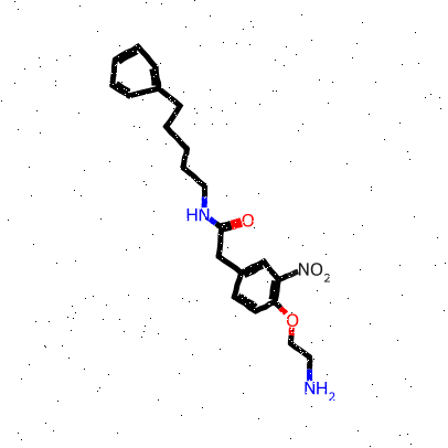 NCCOc1ccc(CC(=O)NCCCCCc2ccccc2)cc1[N+](=O)[O-]